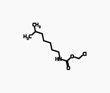 CC(C)CCCCCNC(=O)OCCl